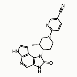 C[C@@H]1CN(c2ccc(C#N)cn2)CC[C@@H]1n1c(=O)[nH]c2cnc3[nH]ccc3c21